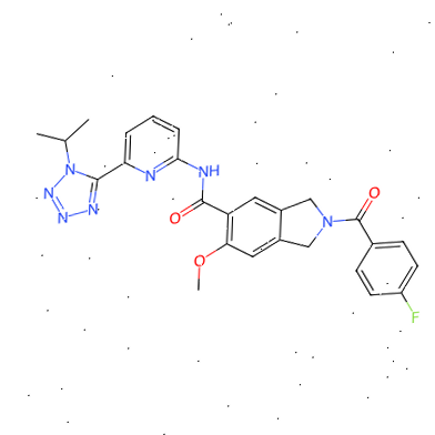 COc1cc2c(cc1C(=O)Nc1cccc(-c3nnnn3C(C)C)n1)CN(C(=O)c1ccc(F)cc1)C2